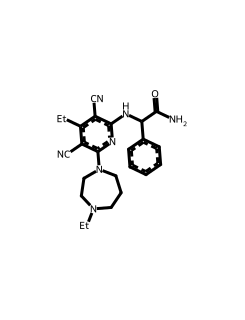 CCc1c(C#N)c(NC(C(N)=O)c2ccccc2)nc(N2CCCN(CC)CC2)c1C#N